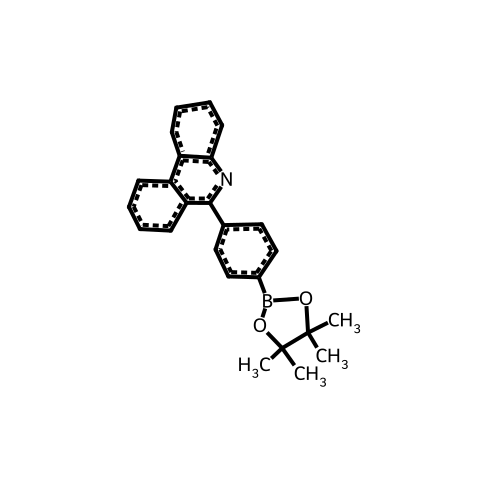 CC1(C)OB(c2ccc(-c3nc4ccccc4c4ccccc34)cc2)OC1(C)C